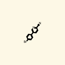 N#Cc1ccc(-c2ccc(Br)cc2)cn1